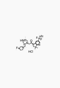 CCCC(F)(F)c1cnc2c(c1)N(C(=O)CN1C[C@@H](C)NC[C@@H]1CN1CC[C@@H](F)C1)CC2(C)C.Cl